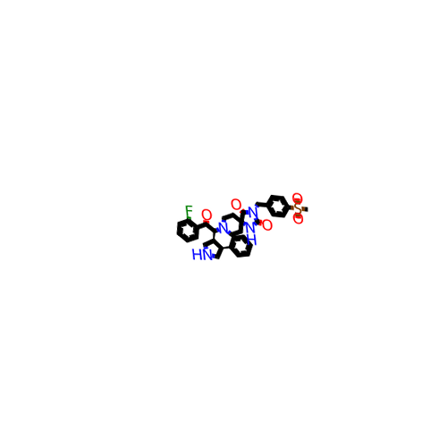 CS(=O)(=O)c1ccc(CN2C(=O)NC3(CCN(C(C(=O)c4ccccc4F)[C@@H]4CNC[C@@H]4c4ccccc4)CC3)C2=O)cc1